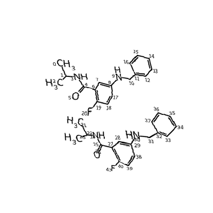 CC(C)NC(=O)c1cc(NCc2ccccc2)ccc1F.CC(C)NC(=O)c1cc(NCc2ccccc2)ccc1F